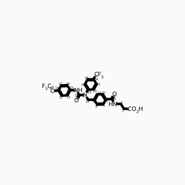 O=C(O)CCNC(=O)c1ccc(CN(C(=O)Nc2ccc(OC(F)(F)F)cc2)c2ccc(C(F)(F)F)cc2)cc1